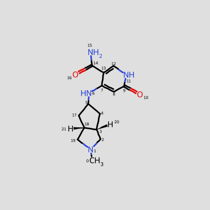 CN1C[C@H]2CC(Nc3cc(=O)[nH]cc3C(N)=O)C[C@H]2C1